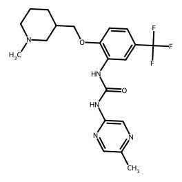 Cc1cnc(NC(=O)Nc2cc(C(F)(F)F)ccc2OCC2CCCN(C)C2)cn1